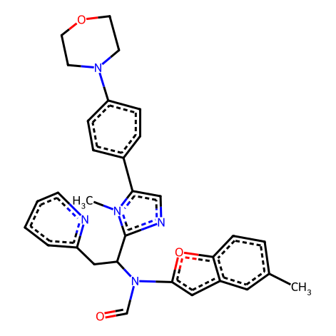 Cc1ccc2oc(N(C=O)C(Cc3ccccn3)c3ncc(-c4ccc(N5CCOCC5)cc4)n3C)cc2c1